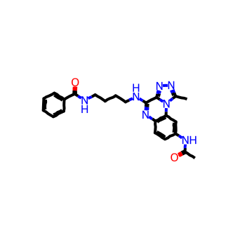 CC(=O)Nc1ccc2nc(NCCCCNC(=O)c3ccccc3)c3nnc(C)n3c2c1